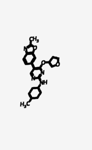 Cc1nc2ccc(-c3cnc(NC4CCC(C)CC4)nc3OC3CCOC3)cc2o1